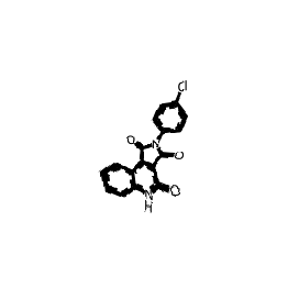 O=C1c2c(c3ccccc3[nH]c2=O)C(=O)N1c1ccc(Cl)cc1